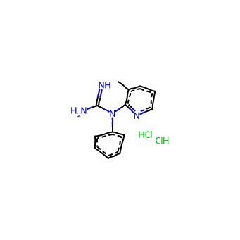 Cc1cccnc1N(C(=N)N)c1ccccc1.Cl.Cl